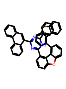 c1ccc(C2N=C(c3cc4ccccc4c4ccccc34)N=C(c3cccc4oc5cccc(-c6cccc7sc8ccccc8c67)c5c34)N2)cc1